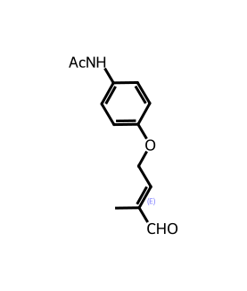 CC(=O)Nc1ccc(OC/C=C(\C)C=O)cc1